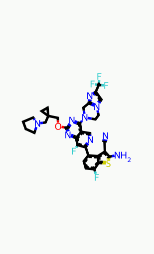 N#Cc1c(N)sc2c(F)ccc(-c3ncc4c(N5CCn6cc(C(F)(F)F)nc6C5)nc(OCC5(CN6CCCC6)CC5)nc4c3F)c12